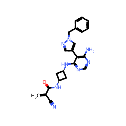 C=C(C#N)C(=O)N[C@H]1C[C@@H](Nc2ncnc(N)c2-c2cnn(Cc3ccccc3)c2)C1